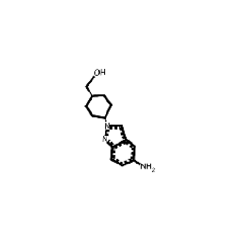 Nc1ccc2nn([C@H]3CC[C@H](CO)CC3)cc2c1